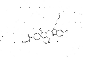 CC(C)(C)OC(=O)N1CCC2(CC1)C(=O)N(Cc1nc3ccc(Cl)cc3n1CCCCF)c1cnccc12